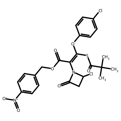 CC(C)(C)C(=O)SC(Oc1ccc(Cl)cc1)=C(C(=O)OCc1ccc([N+](=O)[O-])cc1)N1C(=O)CC1Cl